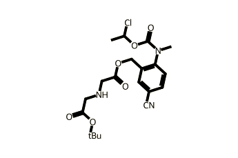 CC(Cl)OC(=O)N(C)c1ccc(C#N)cc1COC(=O)CNCC(=O)OC(C)(C)C